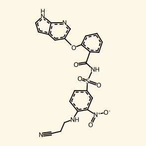 N#CCCNc1ccc(S(=O)(=O)NC(=O)c2ccccc2Oc2cnc3[nH]ccc3c2)cc1[N+](=O)[O-]